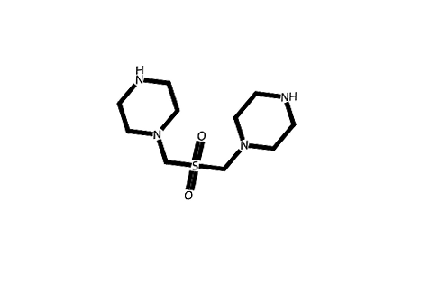 O=S(=O)(CN1CCNCC1)CN1CCNCC1